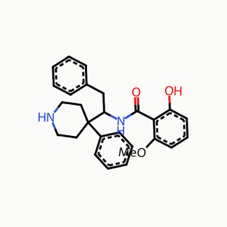 COc1cccc(O)c1C(=O)NC(Cc1ccccc1)C1(c2ccccc2)CCNCC1